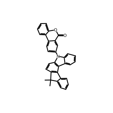 CC1(C)c2ccccc2-c2c1ccc1c2c2ccccc2n1-c1ccc2c(c1)c(=O)oc1ccccc12